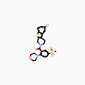 CS(=O)(=O)c1ccc(N2CCOCC2)c(C(=O)N2CCc3c(sc4ccc(Cl)cc34)C2)c1